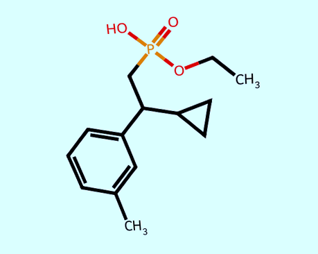 CCOP(=O)(O)CC(c1cccc(C)c1)C1CC1